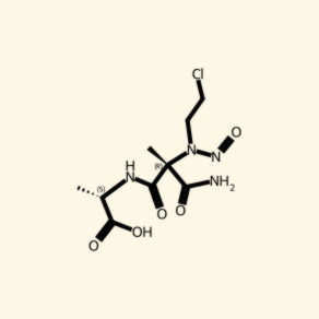 C[C@H](NC(=O)[C@@](C)(C(N)=O)N(CCCl)N=O)C(=O)O